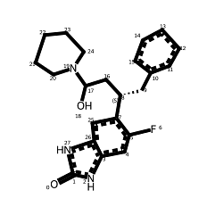 O=c1[nH]c2cc(F)c([C@@H](Cc3ccccc3)CC(O)N3CCCCC3)cc2[nH]1